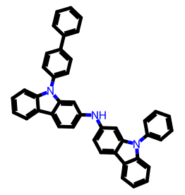 c1ccc(-c2ccc(-n3c4ccccc4c4ccc(Nc5ccc6c7ccccc7n(-c7ccccc7)c6c5)cc43)cc2)cc1